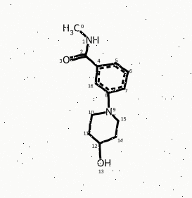 CNC(=O)c1cccc(N2CCC(O)CC2)c1